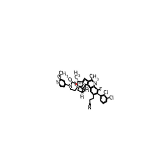 COc1cc(N2CCCN([C@H](C)c3cc4c(C)nc5c(F)c(-c6cccc(Cl)c6Cl)c(CCC#N)cc5c4n3[C@H]3[C@H]4CN[C@@H]3C4)C2=O)ccn1